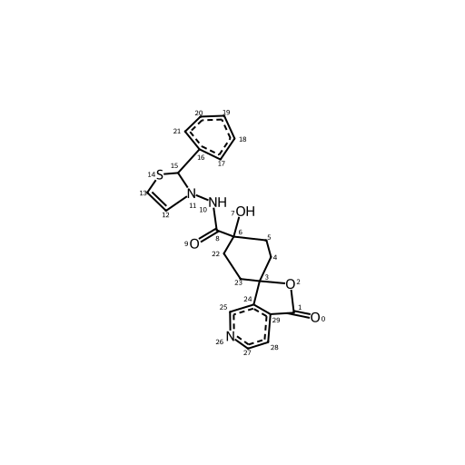 O=C1OC2(CCC(O)(C(=O)NN3C=CSC3c3ccccc3)CC2)c2cnccc21